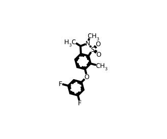 Cc1c(Oc2cc(F)cc(F)c2)ccc2c1S(=O)(=O)N(C)C2C